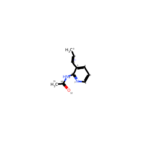 C/C=C/c1cccnc1NC(C)=O